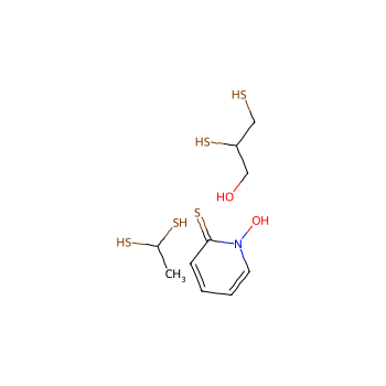 CC(S)S.OCC(S)CS.On1ccccc1=S